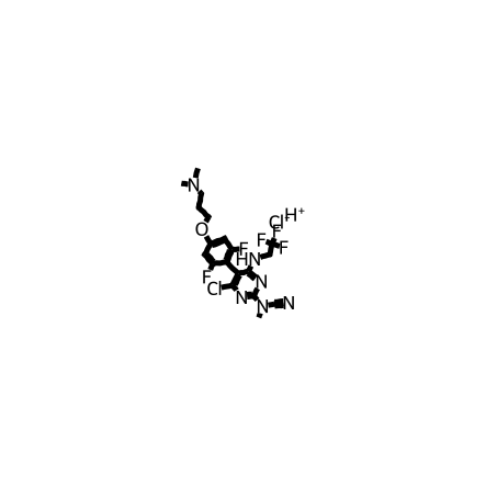 CN(C)CCCOc1cc(F)c(-c2c(Cl)nc(N(C)C#N)nc2NCC(F)(F)F)c(F)c1.[Cl-].[H+]